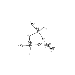 C[PH]([O-])([O-])C[PH](C)([O-])[O-].[Mg+2].[Mg+2]